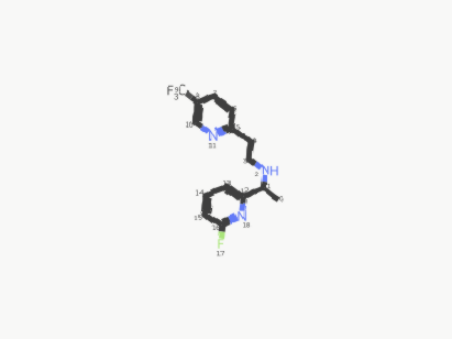 CC(NCCc1ccc(C(F)(F)F)cn1)c1cccc(F)n1